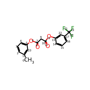 Cc1cccc(OC(=O)CC(=O)Oc2cccc(C(F)(F)F)c2)c1